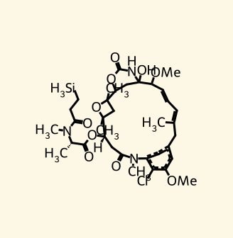 COc1cc2cc(c1Cl)N(C)C(=O)C[C@H](OC(=O)[C@H](C)N(C)C(=O)CC[SiH3])C1(C)CC(C)(O1)C1CC(O)(NC(=O)O1)C(OC)/C=C/C=C(\C)C2